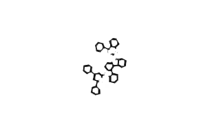 c1ccc(-c2cc(-c3ccccc3)nc(-n3c4ccccc4c4c5c6ccccc6n(-c6nc(-c7ccccc7)c7ccccc7n6)c5ccc43)c2)cc1